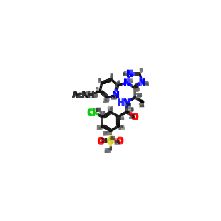 CC(=O)Nc1ccc(-n2ncnc2[C@@H](C)NC(=O)c2cc(Cl)cc(S(C)(=O)=O)c2)nc1